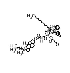 CCCCCCCCCCCC(C)/C=C/[C@@H](CC(C)(C)[Si](O)(c1ccccc1)c1ccccc1)[C@H](COC(=O)CCC=O)NC(=O)CNC(=O)CO[C@H]1CC[C@@]2(C)C(CCC3C2CC[C@@]2(C)C3CC[C@@H]2C(C)CCCC(C)C)C1